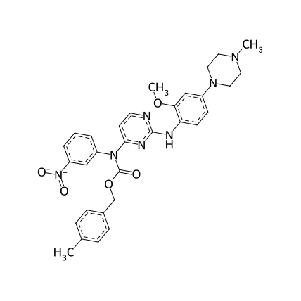 COc1cc(N2CCN(C)CC2)ccc1Nc1nccc(N(C(=O)OCc2ccc(C)cc2)c2cccc([N+](=O)[O-])c2)n1